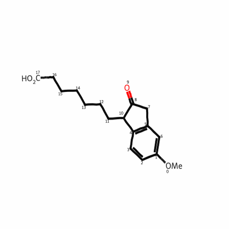 COc1ccc2c(c1)CC(=O)C2CCCCCCC(=O)O